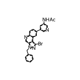 CC(=O)Nc1cncc(-c2ccc3ncc4c(c(Br)nn4Cc4ccccc4)c3c2)c1